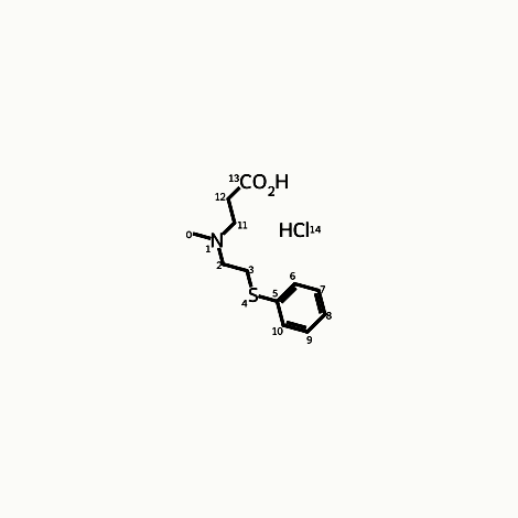 CN(CCSc1ccccc1)CCC(=O)O.Cl